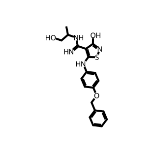 CC(CO)NC(=N)c1c(O)nsc1Nc1ccc(OCc2ccccc2)cc1